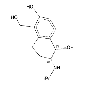 CC(C)N[C@@H]1CCc2c(ccc(O)c2CO)[C@@H]1O